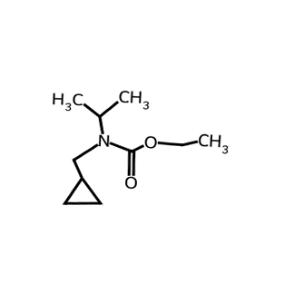 CCOC(=O)N(CC1CC1)C(C)C